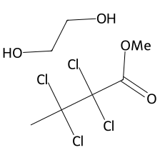 COC(=O)C(Cl)(Cl)C(C)(Cl)Cl.OCCO